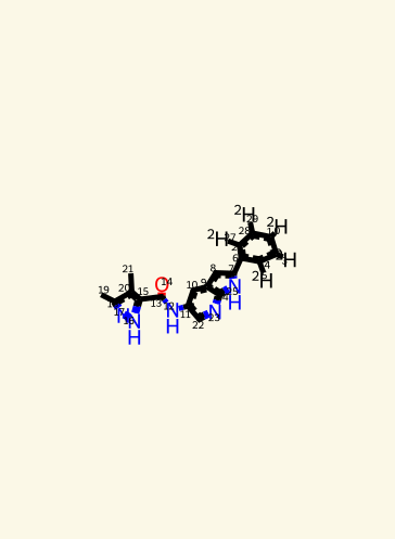 [2H]c1c([2H])c([2H])c(-c2cc3cc(NC(=O)c4[nH]nc(C)c4C)cnc3[nH]2)c([2H])c1[2H]